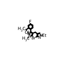 CCn1cc(Cc2cn(C)nc2-c2ccc(F)cc2[C@@H](C)O)c(Br)n1